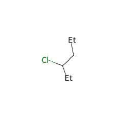 [CH2]CCC(Cl)CC